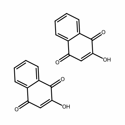 O=C1C=C(O)C(=O)c2ccccc21.O=C1C=C(O)C(=O)c2ccccc21